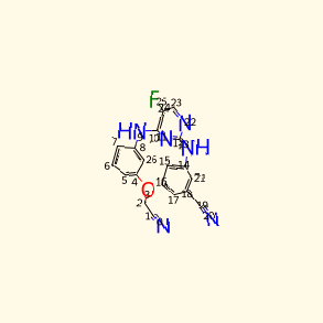 N#CCOc1cccc(Nc2nc(Nc3cccc(C#N)c3)ncc2F)c1